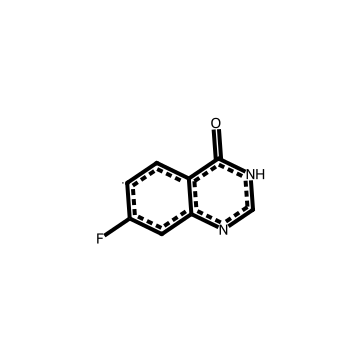 O=c1[nH]cnc2cc(F)[c]cc12